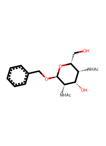 CC(=O)N[C@@H]1[C@@H](OCc2ccccc2)O[C@H](CO)[C@H](NC(C)=O)[C@@H]1O